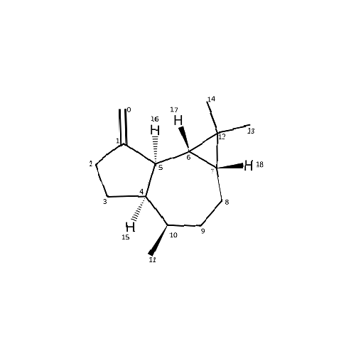 C=C1CC[C@H]2[C@@H]1[C@H]1[C@@H](CC[C@H]2C)C1(C)C